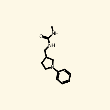 CNC(=O)NCC1CCN(c2ccccc2)C1